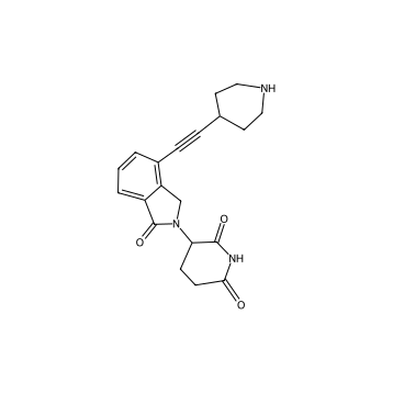 O=C1CCC(N2Cc3c(C#CC4CCNCC4)cccc3C2=O)C(=O)N1